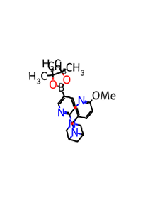 COc1ccc(CN2C3CC2CN(c2ccc(B4OC(C)(C)C(C)(C)O4)cn2)C3)cn1